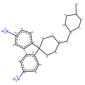 CC1CCC(CC2CCC(c3ccc(N)cc3)(c3ccc(N)cc3)CC2)CC1